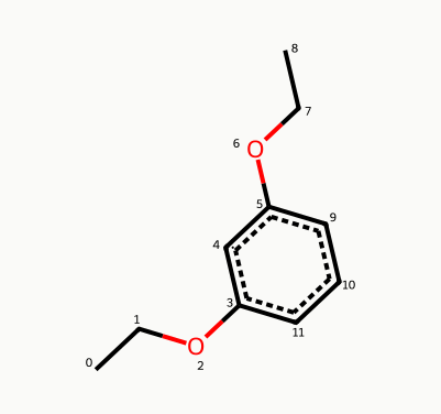 CCOc1[c]c(OCC)ccc1